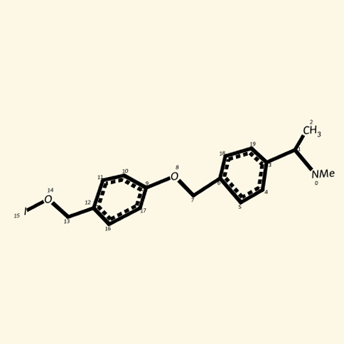 CNC(C)c1ccc(COc2ccc(COI)cc2)cc1